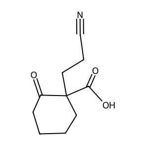 N#CCCC1(C(=O)O)CCCCC1=O